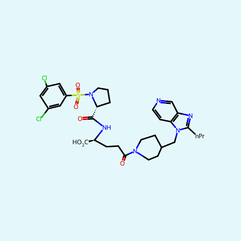 CCCc1nc2cnccc2n1CC1CCN(C(=O)CC[C@H](NC(=O)[C@H]2CCCN2S(=O)(=O)c2cc(Cl)cc(Cl)c2)C(=O)O)CC1